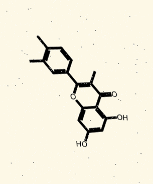 Cc1ccc(-c2oc3cc(O)cc(O)c3c(=O)c2C)cc1C